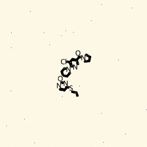 CCCSc1ccnc(OC2CCN(c3ncc(C(=O)N4CCCC4)cc3Cl)CC2)n1